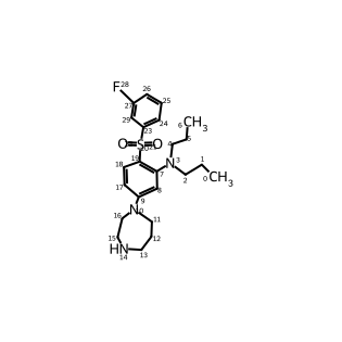 CCCN(CCC)c1cc(N2CCCNCC2)ccc1S(=O)(=O)c1cccc(F)c1